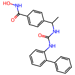 CC(NC(=O)Nc1ccccc1-c1ccccc1)c1ccc(C(=O)NO)cc1